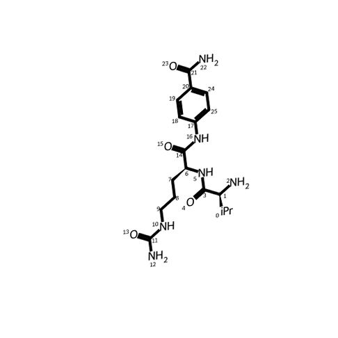 CC(C)[C@H](N)C(=O)N[C@@H](CCCNC(N)=O)C(=O)Nc1ccc(C(N)=O)cc1